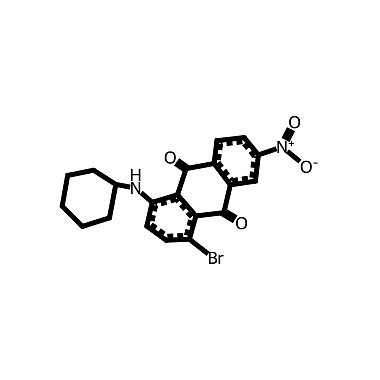 O=C1c2cc([N+](=O)[O-])ccc2C(=O)c2c(NC3CCCCC3)ccc(Br)c21